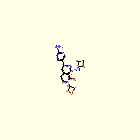 Nc1ncc(-c2cc3ccn(C4COC4)c(=O)c3c(NC3CCC3)n2)cn1